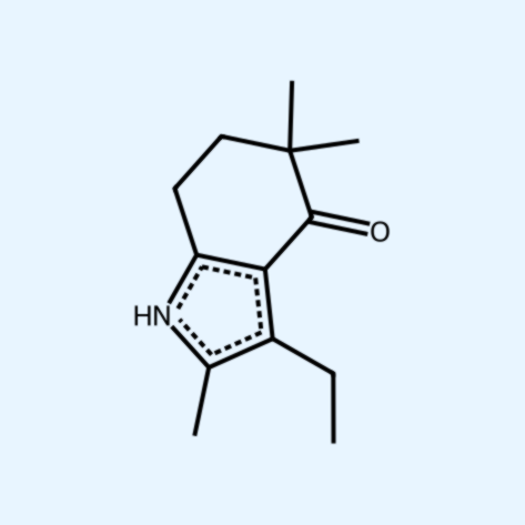 CCc1c(C)[nH]c2c1C(=O)C(C)(C)CC2